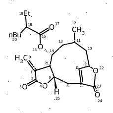 C=C1C(=O)O[C@H]2CC3=CC(CC(C)C[C@@H](OC(=O)C(CC)CCCC)C12)OC3=O